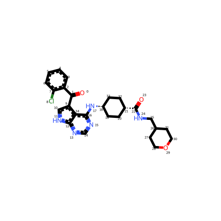 O=C(c1ccccc1Cl)c1c[nH]c2ncnc(N[C@H]3CC[C@@H](C(=O)NCC4CCOCC4)CC3)c12